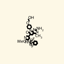 COc1ncc(-c2cc3c(C)nc(N)nc3n(C3CCC(OCCO)CC3)c2=O)cc1NS(=O)(=O)c1c(F)cccc1F